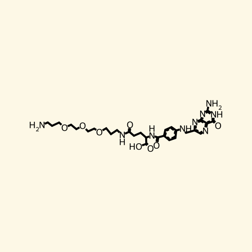 NCCCOCCOCCOCCCNC(=O)CCC(NC(=O)c1ccc(NCc2cnc3c(=O)[nH]c(N)nc3n2)cc1)C(=O)O